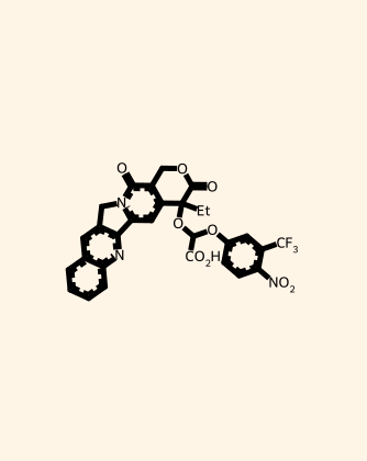 CCC1(OC(Oc2ccc([N+](=O)[O-])c(C(F)(F)F)c2)C(=O)O)C(=O)OCc2c1cc1n(c2=O)Cc2cc3ccccc3nc2-1